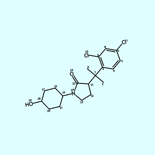 CC(C)(c1ccc(Cl)cc1Cl)C1CCN(C2CCC(O)CC2)C1=O